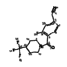 N#Cc1ccc(C(=O)N2CCC(C(F)(F)F)CC2)c(F)c1